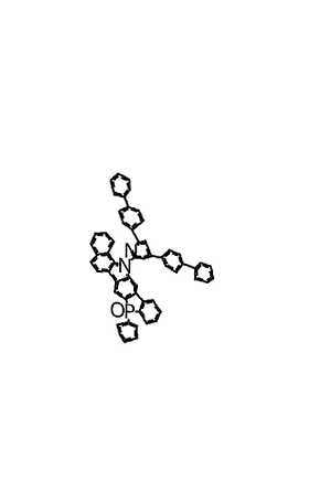 O=P1(c2ccccc2)c2ccccc2-c2cc3c(cc21)c1ccc2ccccc2c1n3-c1cc(-c2ccc(-c3ccccc3)cc2)cc(-c2ccc(-c3ccccc3)cc2)n1